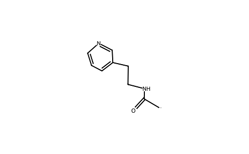 [CH2]C(=O)NCCc1cccnc1